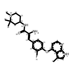 Cc1c[nH]c2nccc(Oc3ccc(C=C(N)C(=O)NC4CCN(C)C(C)(C)C4)cc3F)c12